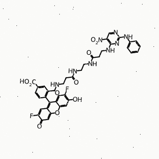 O=C(CCNC(=O)c1cc(C(=O)O)ccc1-c1c2cc(F)c(=O)cc-2oc2cc(O)c(F)cc12)NCCNC(=O)CCNc1nc(Nc2ccccc2)ncc1[N+](=O)[O-]